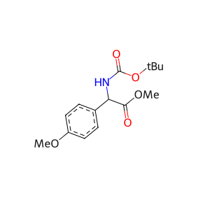 COC(=O)C(NC(=O)OC(C)(C)C)c1ccc(OC)cc1